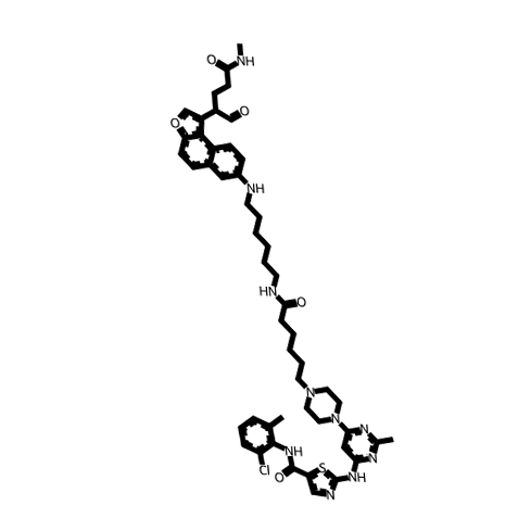 CNC(=O)CCC(C=O)c1coc2ccc3cc(NCCCCCCNC(=O)CCCCCN4CCN(c5cc(Nc6ncc(C(=O)Nc7c(C)cccc7Cl)s6)nc(C)n5)CC4)ccc3c12